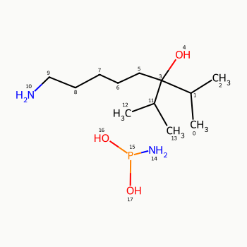 CC(C)C(O)(CCCCCN)C(C)C.NP(O)O